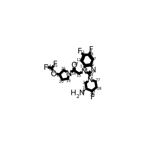 N[C@@H]1CN(c2nc3cc(F)c(F)cc3n2CC(=O)N2CCC(OC(F)F)C2)CC[C@H]1F